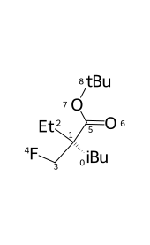 CC[C@@H](C)C(CC)(CF)C(=O)OC(C)(C)C